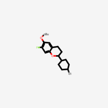 CCCCOc1cc2c(cc1F)OC(C1CCC(CC)CC1)CC2